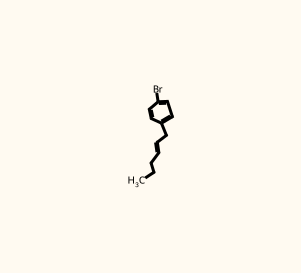 CCCC=CCc1ccc(Br)cc1